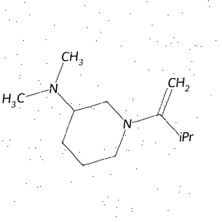 C=C(C(C)C)N1CCCC(N(C)C)C1